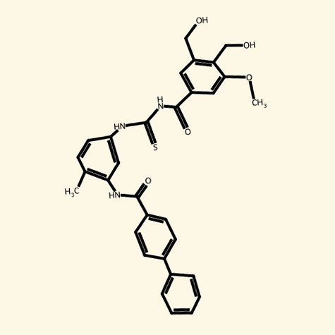 COc1cc(C(=O)NC(=S)Nc2ccc(C)c(NC(=O)c3ccc(-c4ccccc4)cc3)c2)cc(CO)c1CO